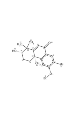 CCOc1cc2c(cc1C(C)C)C(=O)C=C1C(C)(C)[C@@H](O)CC[C@@]12C